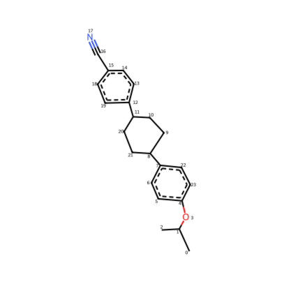 CC(C)Oc1ccc(C2CCC(c3ccc(C#N)cc3)CC2)cc1